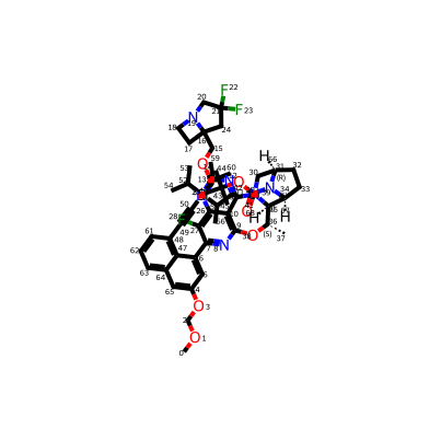 COCOc1cc(-c2nc3c4c(nc(OCC56CCN5CC(F)(F)C6)nc4c2F)N2C[C@H]4CC[C@@H]([C@H]2[C@H](C)O3)N4C(=O)OC(C)(C)C)c2c(C#C[Si](C(C)C)(C(C)C)C(C)C)cccc2c1